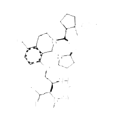 CN(N)/C(=C(\N)COc1ccc(Cl)c2c1[C@@H](N1CCCC1=O)N(C(=O)C1CCC[C@]1(C)C(=O)O)CC2)C(F)F